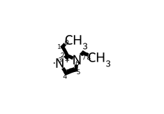 CCC1=[N+]C=CN1CC